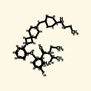 CCSNC1CCC(CN2CCC3(CC2)CN(c2ncncc2Oc2ccc(F)cc2C(=O)N(CC)C(C)C)C3)CC1